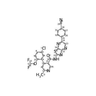 Cc1cc(-c2cc(Cl)ccc2OC(F)F)c(C(=O)Nc2nc3ncc(-c4ccc(C#N)cc4)nc3s2)cn1